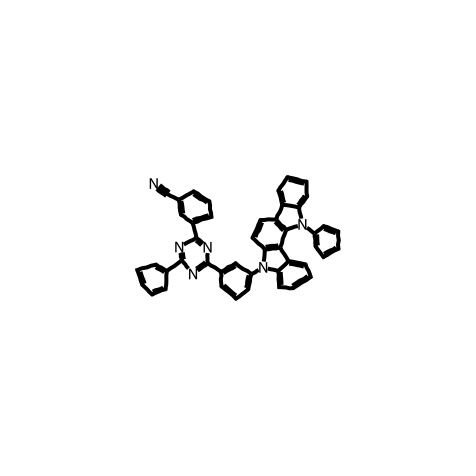 N#Cc1cccc(-c2nc(-c3ccccc3)nc(-c3cccc(-n4c5ccccc5c5c4ccc4c6ccccc6n(-c6ccccc6)c45)c3)n2)c1